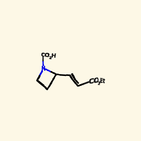 CCOC(=O)C=CC1CCN1C(=O)O